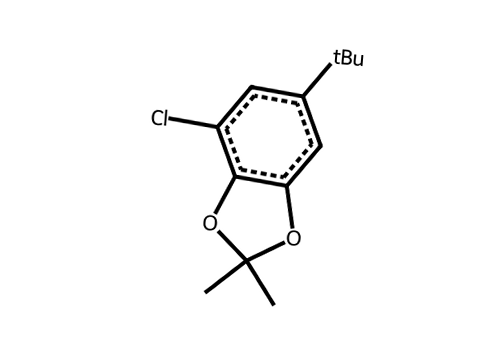 CC1(C)Oc2cc(C(C)(C)C)cc(Cl)c2O1